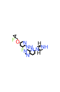 Fc1cc(OCC2(F)CC2)cnc1Nc1ncnc2ccc(N3C[C@@H]4C[C@H]3CN4)nc12